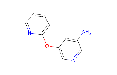 Nc1cncc(Oc2ccccn2)c1